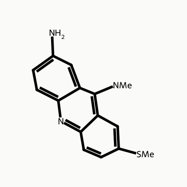 CNc1c2cc(N)ccc2nc2ccc(SC)cc12